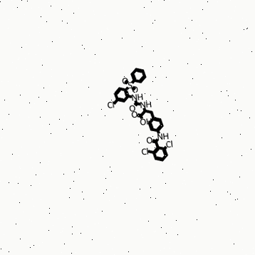 O=C(Nc1cc(Cl)ccc1S(=O)(=O)c1ccccc1)NC(Cc1ccc(NC(=O)c2c(Cl)cccc2Cl)cc1)C(=O)O